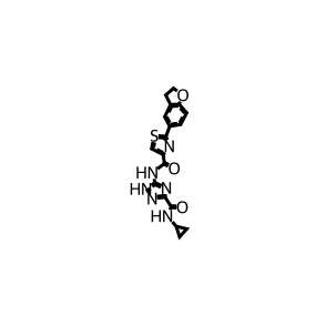 O=C(Nc1nc(C(=O)NC2CC2)n[nH]1)c1csc(-c2ccc3c(c2)CCO3)n1